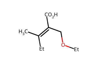 CCOC/C(C(=O)O)=C(/C)CC